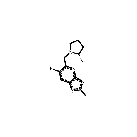 Cc1nc2nc(CN3CCC[C@@H]3C)c(F)cc2s1